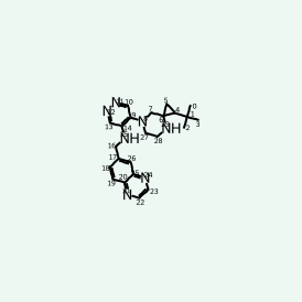 CC(C)(C)C1CC12CN(c1cnncc1NCc1ccc3nccnc3c1)CCN2